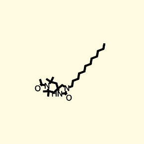 CCCCCCCCCCCCN1CC2(CC(C)(C)N(C(C)=O)C(C)(C)C2)NC1=O